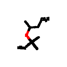 CCCCCCC(C)(C)OC(C)CC(=O)O